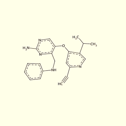 C#Cc1cc(Oc2cnc(N)nc2CNc2ccccc2)c(C(C)C)cn1